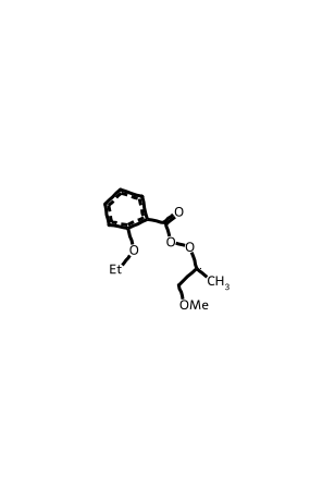 CCOc1ccccc1C(=O)OO[C](C)COC